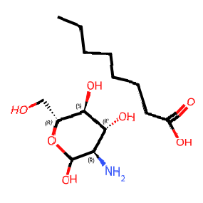 CCCCCCCC(=O)O.N[C@H]1C(O)O[C@H](CO)[C@@H](O)[C@@H]1O